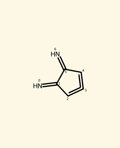 N=C1C=C=CC1=N